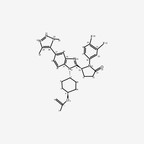 C=C(C)O[C@H]1CC[C@H](n2c([C@@H]3CCC(=O)N3c3ccc(F)c(F)c3)nc3cc(-c4c(C)nnn4C)ccc32)CC1